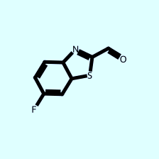 O=CC1=NC2C=CC(F)=CC2S1